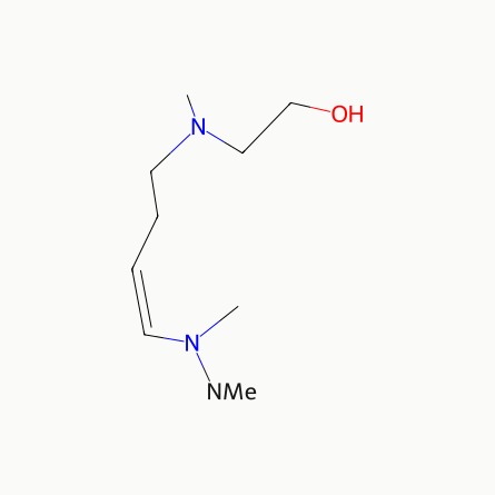 CNN(C)/C=C\CCN(C)CCO